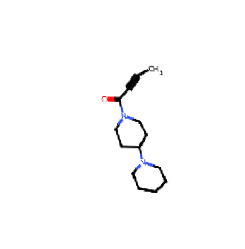 CC#CC(=O)N1CCC(N2CCCCC2)CC1